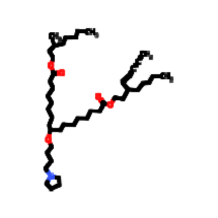 C=C=C=C=CC(CCCCC)CCOC(=O)CCCCCCCC(CCCCCCCC(=O)OCCC(C)CCCCC)OCCCCN1CCCC1